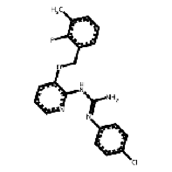 Cc1cccc(COc2cccnc2NC(N)=Nc2ccc(Cl)cc2)c1F